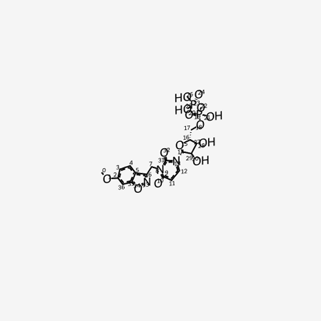 COc1ccc2c(Cn3c(=O)ccn([C@@H]4O[C@H](COP(=O)(O)OP(=O)(O)O)[C@H](O)C4O)c3=O)noc2c1